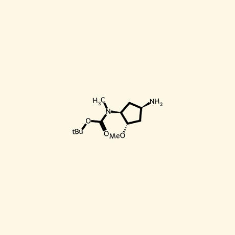 CO[C@H]1C[C@H](N)C[C@@H]1N(C)C(=O)OC(C)(C)C